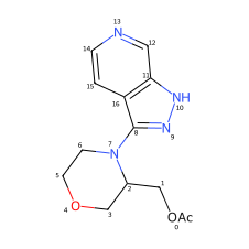 CC(=O)OCC1COCCN1c1n[nH]c2cnccc12